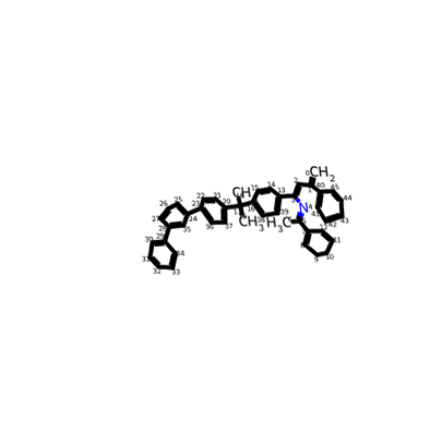 C=C(/C=C(\N=C(/C)C1=CCCC=C1)c1ccc(C(C)(C)c2ccc(-c3cccc(-c4ccccc4)c3)cc2)cc1)c1ccccc1